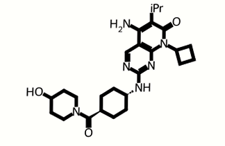 CC(C)c1c(N)c2cnc(N[C@H]3CC[C@H](C(=O)N4CCC(O)CC4)CC3)nc2n(C2CCC2)c1=O